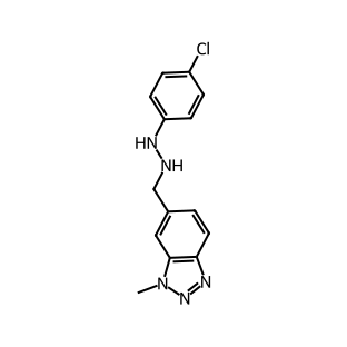 Cn1nnc2ccc(CNNc3ccc(Cl)cc3)cc21